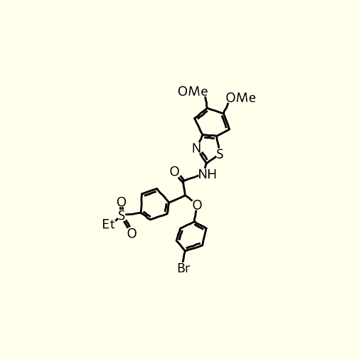 CCS(=O)(=O)c1ccc(C(Oc2ccc(Br)cc2)C(=O)Nc2nc3cc(OC)c(OC)cc3s2)cc1